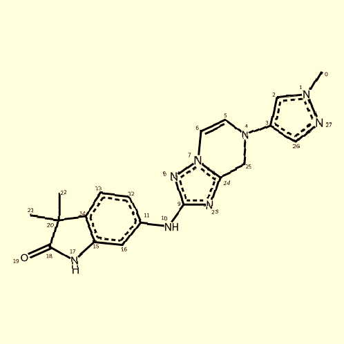 Cn1cc(N2C=Cn3nc(Nc4ccc5c(c4)NC(=O)C5(C)C)nc3C2)cn1